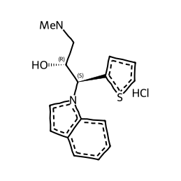 CNC[C@@H](O)[C@@H](c1cccs1)n1ccc2ccccc21.Cl